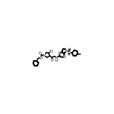 CCC1CN(C(=O)OCc2ccccc2)CC1C(=O)CNc1cnc2c(ccn2S(=O)(=O)c2ccc(C)cc2)n1